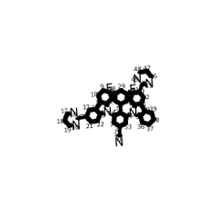 N#Cc1cc(-n2c3ccccc3c3cc(-c4ncccn4)ccc32)c(-c2cc(F)cc(F)c2)c(-n2c3ccccc3c3cc(-c4ncccn4)ccc32)c1